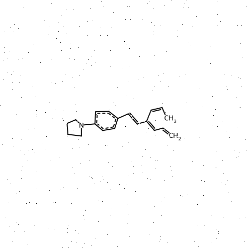 C=C/C=C(\C=C/C)/C=C/c1ccc(N2CCCC2)cc1